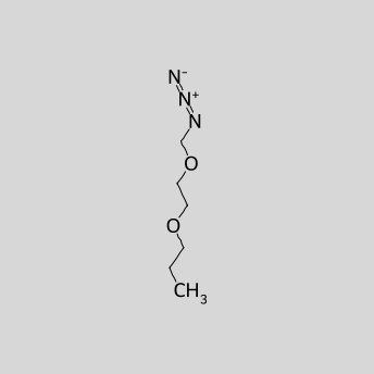 CCCOCCOCN=[N+]=[N-]